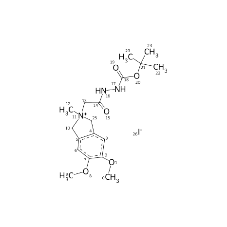 COc1cc2c(cc1OC)C[N+](C)(CC(=O)NNC(=O)OC(C)(C)C)C2.[I-]